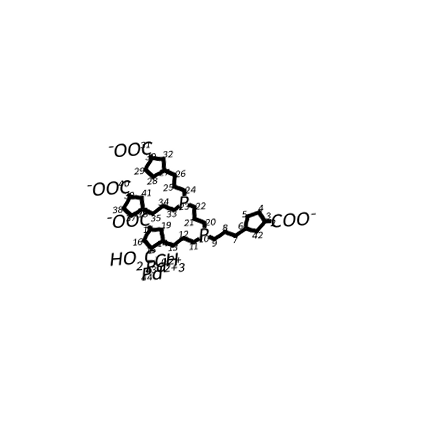 CC(=O)O.O=C([O-])C1CCC(CCCP(CCCC2CCC(C(=O)[O-])C2)CCCP(CCCC2CCC(C(=O)[O-])C2)CCCC2CCC(C(=O)[O-])C2)C1.[Pd+2].[Pd+2]